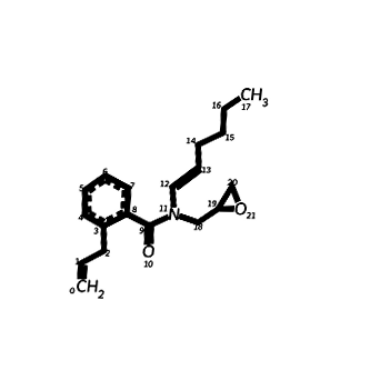 C=CCc1ccccc1C(=O)N(C=CCCCC)CC1CO1